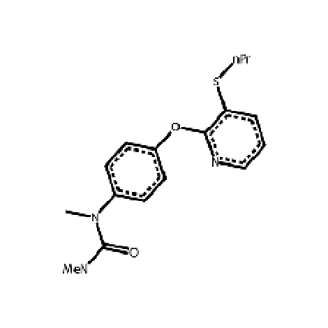 CCCSc1cccnc1Oc1ccc(N(C)C(=O)NC)cc1